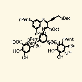 CCCCCCCCCCCC#CC(=Nc1cc(CCCCC)cc(CCCCC)c1)C(CCCCCCCC)=Nc1cc(CCCCC)cc(CCCCC)c1.CCCCCc1c(CCCC)cc(O)c(O)c1C(=O)[O-].CCCCCc1c(CCCC)cc(O)c(O)c1C(=O)[O-].[Ni+2]